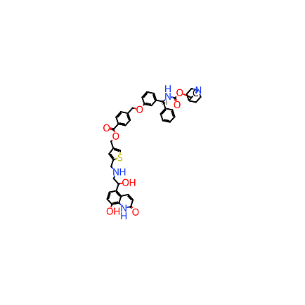 O=C(N[C@@H](c1ccccc1)c1cccc(OCc2ccc(C(=O)OCc3csc(CNCC(O)c4ccc(O)c5[nH]c(=O)ccc45)c3)cc2)c1)OC1CN2CCC1CC2